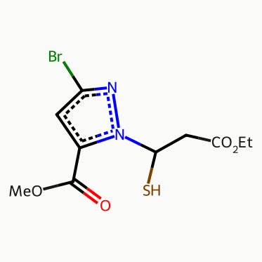 CCOC(=O)CC(S)n1nc(Br)cc1C(=O)OC